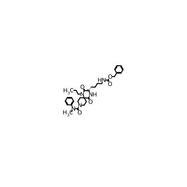 CCCN1C(=O)[C@H](CCCCNC(=O)OCc2ccccc2)NC(=O)C12CCN(C(=O)N(C)c1ccccc1)CC2